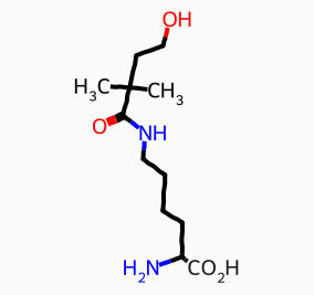 CC(C)(CCO)C(=O)NCCCCC(N)C(=O)O